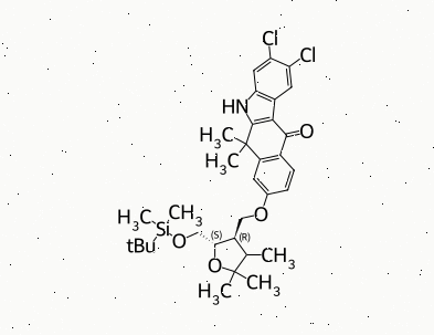 CC1[C@H](COc2ccc3c(c2)C(C)(C)c2[nH]c4cc(Cl)c(Cl)cc4c2C3=O)[C@@H](CO[Si](C)(C)C(C)(C)C)OC1(C)C